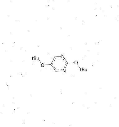 CC(C)(C)Oc1cnc(OC(C)(C)C)nc1